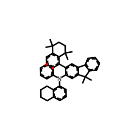 CC1(C)CCC(C)(C)c2c(-c3cc4c(cc3N(c3ccccc3)c3cccc5c3CCCC5)C(C)(C)c3ccccc3-4)cccc21